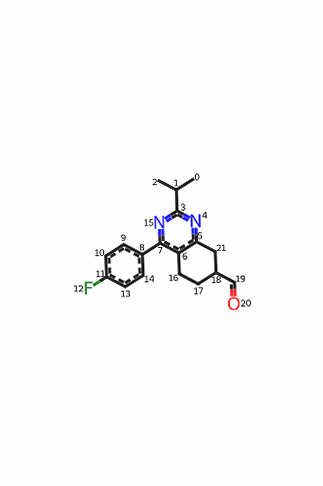 CC(C)c1nc2c(c(-c3ccc(F)cc3)n1)CCC(C=O)C2